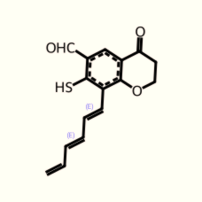 C=C/C=C/C=C/c1c(S)c(C=O)cc2c1OCCC2=O